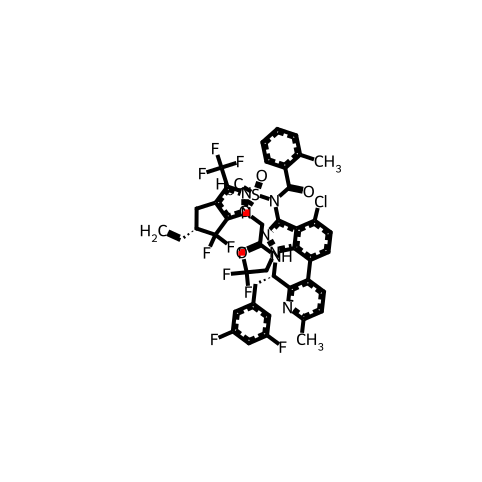 C=C[C@@H]1Cc2c(C(F)(F)F)nn(CC(=O)N[C@@H](Cc3cc(F)cc(F)c3)c3nc(C)ccc3-c3ccc(Cl)c4c(N(C(=O)c5ccccc5C)S(C)(=O)=O)nn(CC(F)(F)F)c34)c2C1(F)F